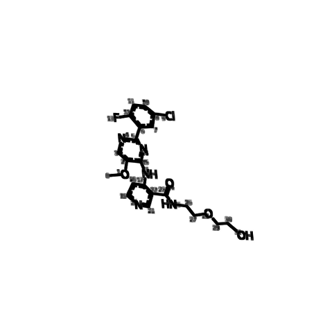 COc1cnc(-c2cc(Cl)ccc2F)nc1Nc1ccncc1C(=O)NCCOCCO